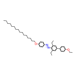 CCCCCCCCCCCCCCCCOc1ccc(/N=N/c2c(CC)cc(-c3ccc(OCC)cc3)cc2CC)cc1